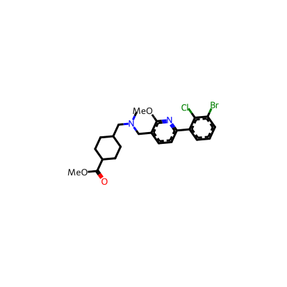 COC(=O)C1CCC(CN(C)Cc2ccc(-c3cccc(Br)c3Cl)nc2OC)CC1